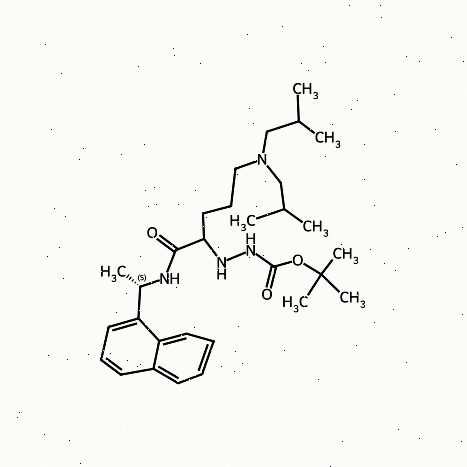 CC(C)CN(CCCC(NNC(=O)OC(C)(C)C)C(=O)N[C@@H](C)c1cccc2ccccc12)CC(C)C